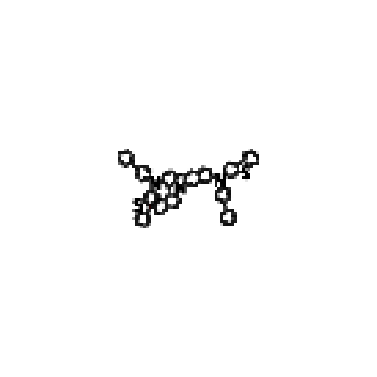 c1ccc(-c2ccc(N(c3ccc4cc5c6ccc(N(c7ccc(-c8ccccc8)cc7)c7ccc8c(c7)sc7ccccc78)c7c8c9ccccc9ccc8n(c5cc4c3)c67)c3ccc4c(c3)sc3ccccc34)cc2)cc1